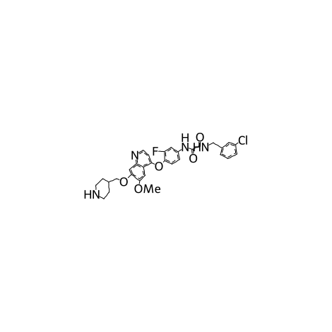 COc1cc2c(Oc3ccc(NC(=O)C(=O)NCc4cccc(Cl)c4)cc3F)ccnc2cc1OCC1CCNCC1